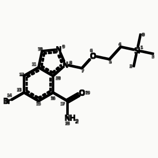 C[Si](C)(C)CCOCn1ncc2cc(Br)cc(C(N)=O)c21